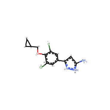 Nc1cc(-c2cc(Cl)c(OCC3CC3)c(Cl)c2)n[nH]1